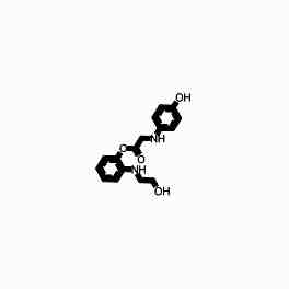 O=C(CNc1ccc(O)cc1)Oc1ccccc1NCCO